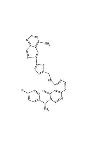 C[C@@H](c1ccc(F)cc1)n1cnc2ccnc(NCc3ccc(-c4cc5c(N)ncnc5cn4)s3)c2c1=O